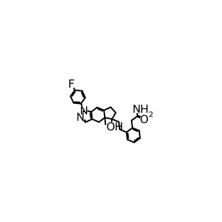 CC12Cc3cnn(-c4ccc(F)cc4)c3C=C1CCC2(O)CCc1ccccc1CC(N)=O